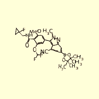 COc1cc(-c2c3c(C#N)cc(B4OC(C)(C)C(C)(C)O4)cc3nn2C)cc(OC(F)F)c1C(=O)NCC1(F)CC1